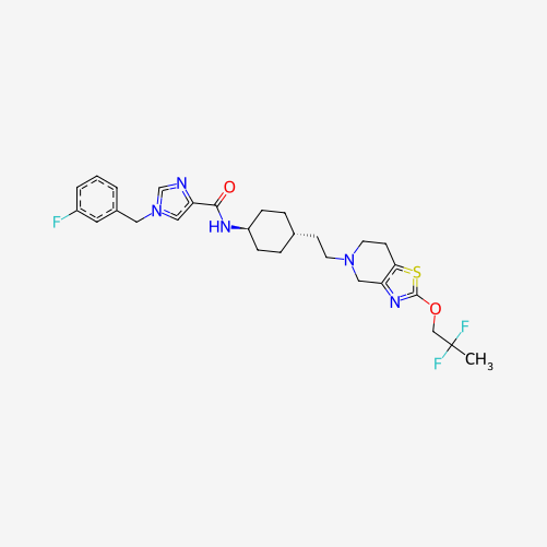 CC(F)(F)COc1nc2c(s1)CCN(CC[C@H]1CC[C@H](NC(=O)c3cn(Cc4cccc(F)c4)cn3)CC1)C2